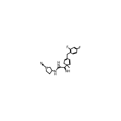 CC1(C(=N)C2=C(NC3CCN(C#N)C3)N2)C=CC(Cc2ccc(F)cc2F)=CC1